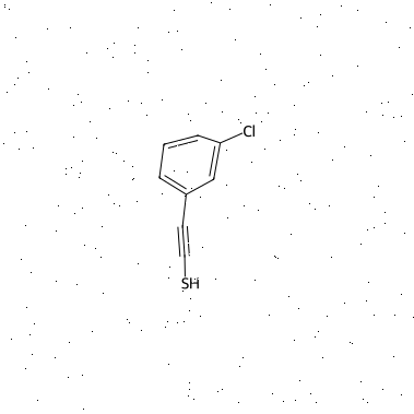 SC#Cc1cccc(Cl)c1